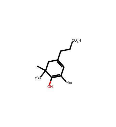 CC(C)(C)C1=C(O)C(C)(C(C)(C)C)CC(CCC(=O)O)=C1